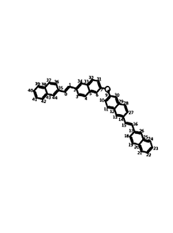 C(=C\c1ccc2cc(Oc3ccc4cc(/C=C/c5ccc6ccccc6c5)ccc4c3)ccc2c1)/c1ccc2ccccc2c1